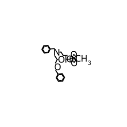 CS(=O)(=O)OCCCN(Cc1ccccc1)C[C@H](O)COCc1ccccc1